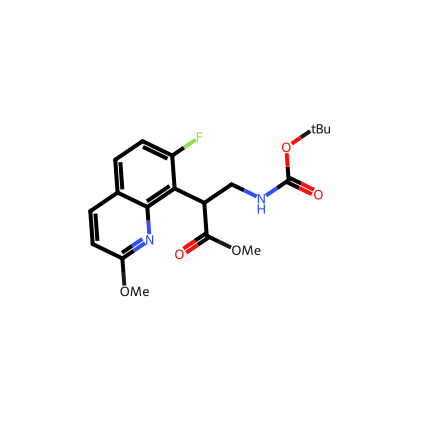 COC(=O)C(CNC(=O)OC(C)(C)C)c1c(F)ccc2ccc(OC)nc12